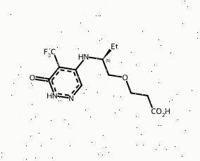 CC[C@@H](COCCC(=O)O)Nc1cn[nH]c(=O)c1C(F)(F)F